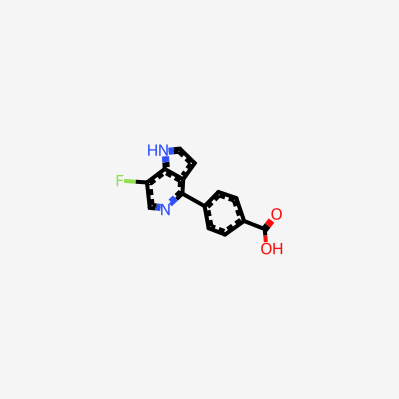 O=C(O)c1ccc(-c2ncc(F)c3[nH]ccc23)cc1